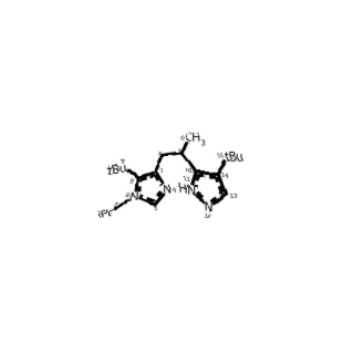 CC(Cc1ncn(C(C)C)c1C(C)(C)C)c1[nH]ncc1C(C)(C)C